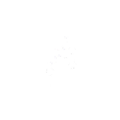 O=C(O)CSc1ccc(NC(=O)NN2C=C(c3ccccc3)c3ccccc3N(CC(=O)[N+]3([O-])CCCC3)C2=O)cc1